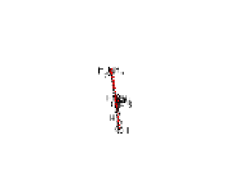 CC(C)(C)OC(=O)CCCCCCCCCCCCCCCCC(=O)N[C@@H](CCC(=O)NCCOCCOCCNCCOCCOCC(=O)O)C(=O)OC(C)(C)C